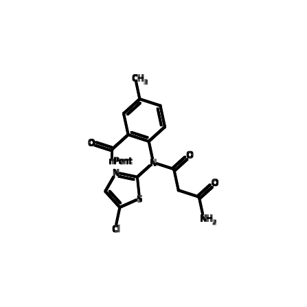 CCCCCC(=O)c1cc(C)ccc1N(C(=O)CC(N)=O)c1ncc(Cl)s1